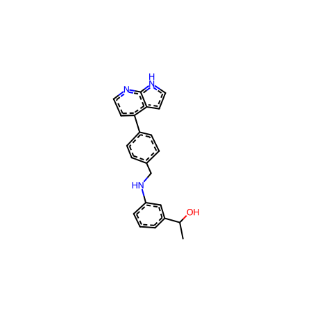 CC(O)c1cccc(NCc2ccc(-c3ccnc4[nH]ccc34)cc2)c1